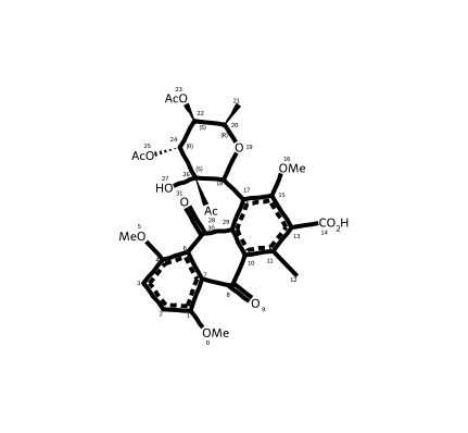 COc1ccc(OC)c2c1C(=O)c1c(C)c(C(=O)O)c(OC)c(C3O[C@H](C)[C@H](OC(C)=O)[C@@H](OC(C)=O)[C@]3(O)C(C)=O)c1C2=O